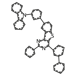 c1ccc(-c2cccc(-c3nc(-c4ccccc4)nc4c3sc3ccc(-c5cccc(-n6c7ccccc7c7ccccc76)c5)cc34)c2)cc1